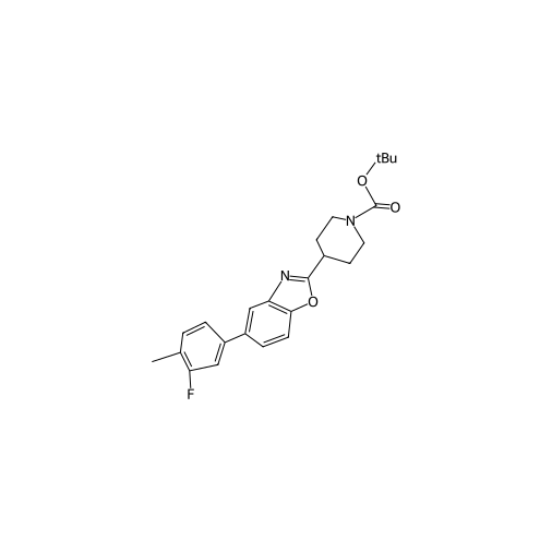 Cc1ccc(-c2ccc3oc(C4CCN(C(=O)OC(C)(C)C)CC4)nc3c2)cc1F